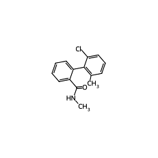 CNC(=O)c1ccccc1-c1c(C)cccc1Cl